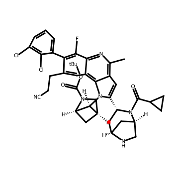 Cc1nc2c(F)c(-c3cccc(Cl)c3Cl)c(CCC#N)cc2c2c1cc([C@H]1C[C@H]3C[C@H](CN3)N1C(=O)C1CC1)n2[C@H]1[C@@H]2C[C@H]1N(C(=O)OC(C)(C)C)C2